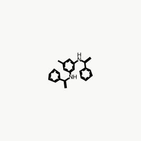 C=C(Nc1cc(C)cc(NC(=C)c2ccccc2)c1)c1ccccc1